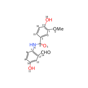 COc1cc(C(=O)Nc2ccc(O)cc2C=O)ccc1O